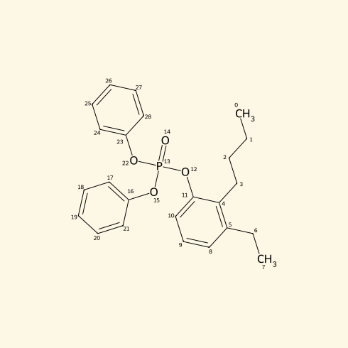 CCCCc1c(CC)cccc1OP(=O)(Oc1ccccc1)Oc1ccccc1